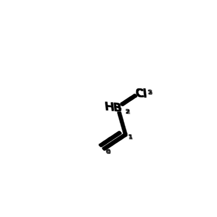 C=CBCl